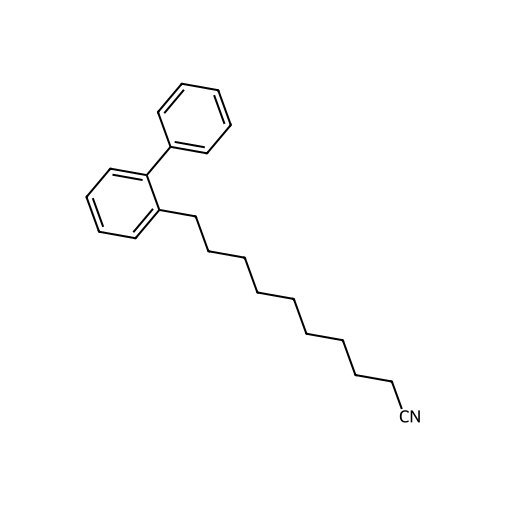 N#CCCCCCCCCCc1ccccc1-c1ccccc1